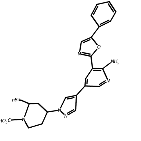 CCCCC1CC(n2cc(-c3cnc(N)c(-c4ncc(-c5ccccc5)o4)c3)cn2)CCN1C(=O)O